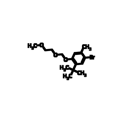 COCCOCOc1cc(C)c(Br)cc1C(C)(C)C